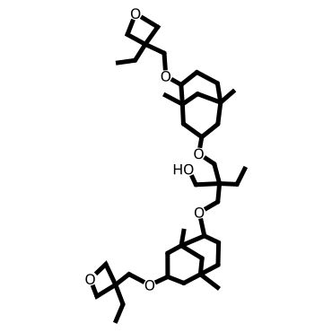 CCC1(COC2CC3(C)CCC(OCC(CC)(CO)COC4CC5(C)CCC(OCC6(CC)COC6)C(C)(C4)C5)C(C)(C2)C3)COC1